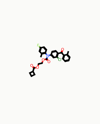 Cc1ccccc1C(=O)c1ccc(N(C(=O)OCCOC(=O)C2CCC2)c2ccc(F)cc2C)cc1Cl